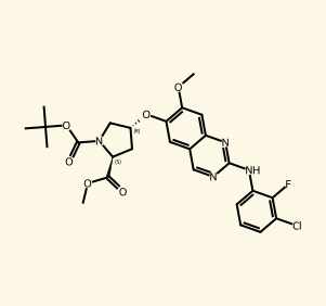 COC(=O)[C@@H]1C[C@@H](Oc2cc3cnc(Nc4cccc(Cl)c4F)nc3cc2OC)CN1C(=O)OC(C)(C)C